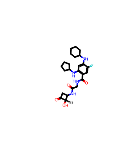 CCC1(O)C(=O)CC1NC(=O)CNC(=O)c1cc(F)c(NC2CCCCC2)cc1NC1CCCC1